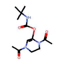 CC(=O)N1C=C(OC(=O)NC(C)(C)C)N(C(C)=O)CC1